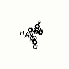 C[C@@H]1CCCN(C(=O)c2ccc(F)cc2-c2ncccn2)[C@@H]1CNc1nc2cc(Cl)ccc2o1